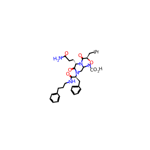 CC(C)C[C@H]1ON(C(=O)O)C2CN([C@@H](Cc3ccccc3)C(=O)NCCCc3ccccc3)C(=O)[C@H](CCC(N)=O)N2C1=O